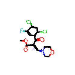 COC(=O)/C(=C/N1CCOCC1)C(=O)c1cc(F)c(Cl)cc1Cl